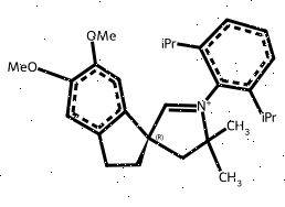 COc1cc2c(cc1OC)[C@@]1(C=[N+](c3c(C(C)C)cccc3C(C)C)C(C)(C)C1)CC2